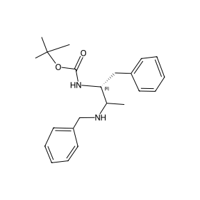 CC(NCc1ccccc1)[C@@H](Cc1ccccc1)NC(=O)OC(C)(C)C